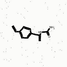 C=Cc1ccc(C(=C)NC(N)=O)cc1